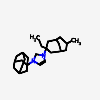 CCC1(N2C=CN(C34CC5CC(CC(C5)C3)C4)C2)CC2CC(C)CC(C2)C1